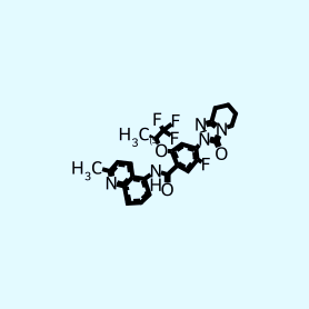 Cc1ccc2c(NC(=O)c3cc(F)c(-n4nc5n(c4=O)CCCC5)cc3O[C@@H](C)C(F)(F)F)cccc2n1